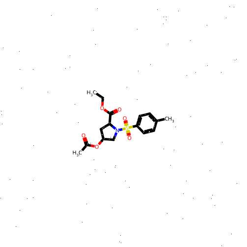 CCOC(=O)C1CC(OC(C)=O)CN1S(=O)(=O)c1ccc(C)cc1